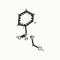 O=[PH](OCCl)c1ccccc1